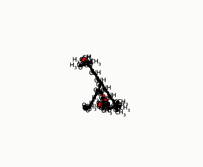 CC(=O)NC1C(OCCCCC(=O)NCCCCC(=O)NCCN(CCNC(=O)CCCCNC(=O)CCCCOC2OC(COC(C)=O)C(OC(C)=O)C(OC(C)=O)C2NC(C)=O)C(=O)CC[C@H](NC(=O)CCCCNC(=O)CCCCOC2OC(COC(C)=O)C(OC(C)=O)C(OC(C)=O)C2NC(C)=O)C(=O)NCCCCCCCCCCC(=O)ON2C(=O)CCC2=O)OC(COC(C)=O)C(OC(C)=O)C1OC(C)=O